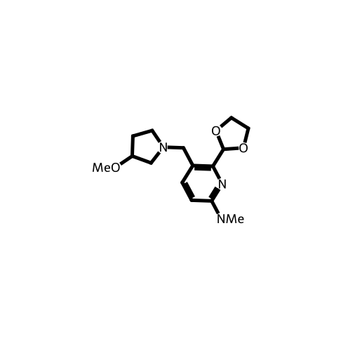 CNc1ccc(CN2CCC(OC)C2)c(C2OCCO2)n1